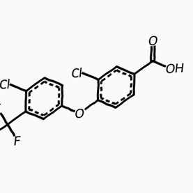 O=C(O)c1ccc(Oc2ccc(Cl)c(C(F)(F)F)c2)c(Cl)c1